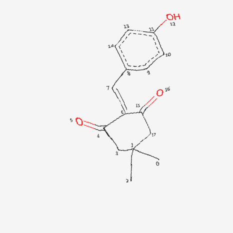 CC1(C)CC(=O)C(=Cc2ccc(O)cc2)C(=O)C1